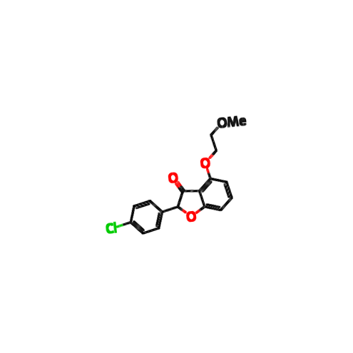 COCCOc1cccc2c1C(=O)C(c1ccc(Cl)cc1)O2